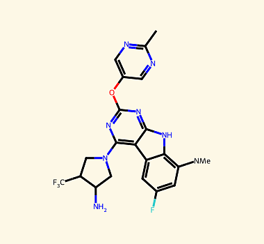 CNc1cc(F)cc2c1[nH]c1nc(Oc3cnc(C)nc3)nc(N3CC(N)C(C(F)(F)F)C3)c12